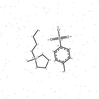 CCCC[N+]1(C)CCCC1.Cc1ccc(S(=O)(=O)[O-])cc1